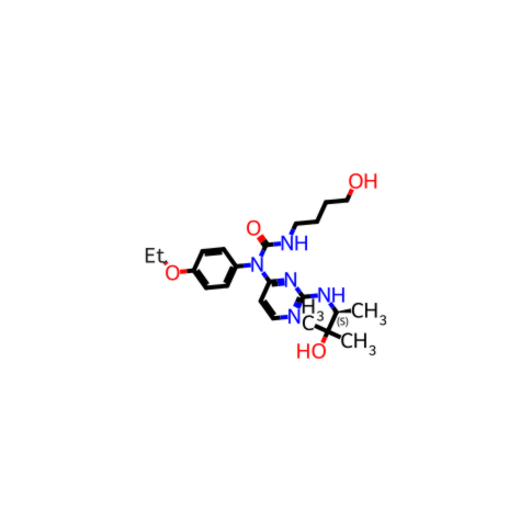 CCOc1ccc(N(C(=O)NCCCCO)c2ccnc(N[C@@H](C)C(C)(C)O)n2)cc1